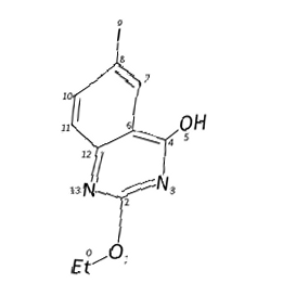 CCOc1nc(O)c2cc(I)ccc2n1